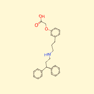 O=C(O)COc1cccc(CCCNCCC(c2ccccc2)c2ccccc2)c1